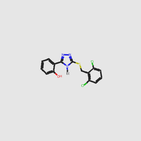 CCn1c(SCc2c(Cl)cccc2Cl)nnc1-c1ccccc1O